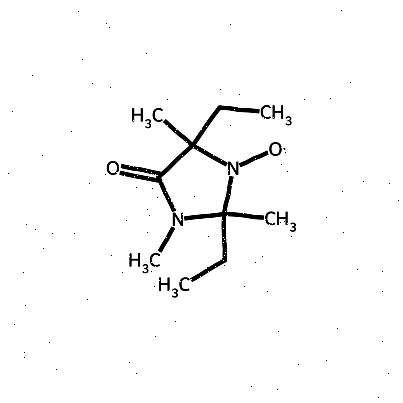 CCC1(C)C(=O)N(C)C(C)(CC)N1[O]